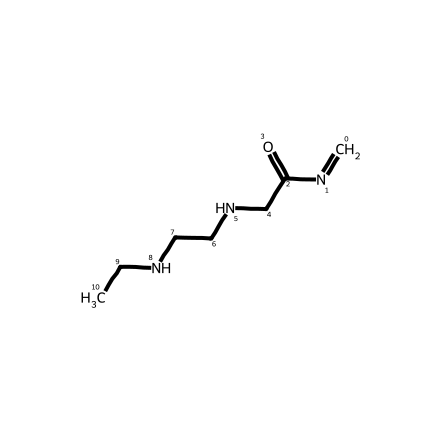 C=NC(=O)CNCCNCC